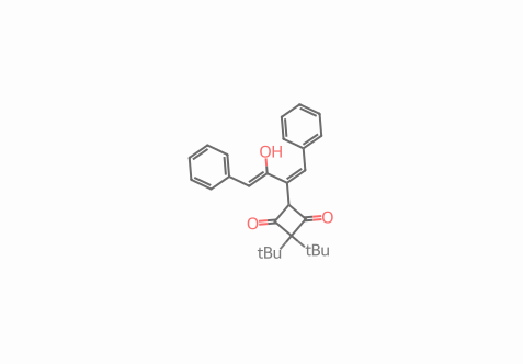 CC(C)(C)C1(C(C)(C)C)C(=O)C(C(=Cc2ccccc2)C(O)=Cc2ccccc2)C1=O